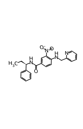 CC[C@@H](NC(=O)c1ccc(NCc2ccccn2)c([N+](=O)[O-])c1)c1ccccc1